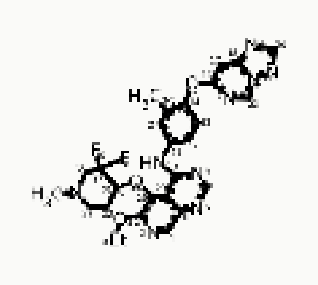 CCOc1ncc2ncnc(Nc3ccc(Oc4cc5ncnn5cn4)c(C)c3)c2c1O[C@H]1CCN(C)CC1(F)F